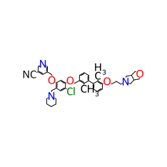 Cc1c(COc2cc(OCc3cncc(C#N)c3)c(CN3CCCCC3)cc2Cl)cccc1-c1cccc(OCCCN2CC3COCC3C2)c1C